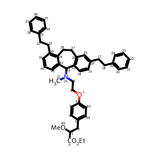 CCOC(=O)C(Cc1ccc(OCCN(C)C2c3ccc(CCc4ccccc4)cc3CCc3c(CCc4ccccc4)cccc32)cc1)OC